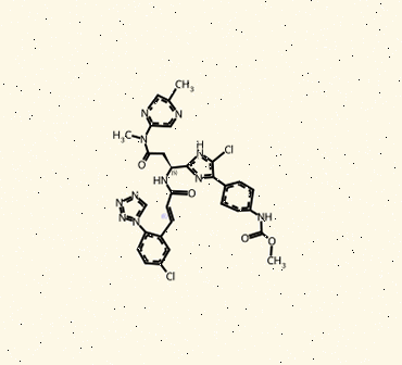 COC(=O)Nc1ccc(-c2nc([C@H](CC(=O)N(C)c3cnc(C)cn3)NC(=O)/C=C/c3cc(Cl)ccc3-n3cnnn3)[nH]c2Cl)cc1